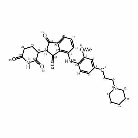 COc1cc(OCCN2CCCCC2)ccc1Nc1cccc2c1C(=O)N(C1CCC(=O)NC1=O)C2=O